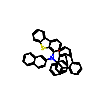 c1ccc2c(c1)-c1cccc3c1-c1cc(N(c4ccc5ccccc5c4)c4cccc5c4sc4ccccc45)ccc1-c1cccc-3c1-2